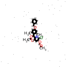 COCOc1ccc(C(OC(C)=O)c2c(C)cc(OCC3C=CC=CC3)cc2C)nc1Cl